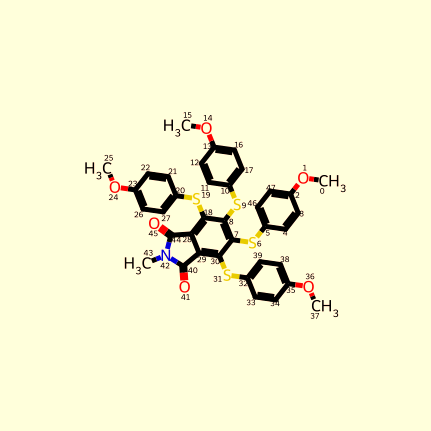 COc1ccc(Sc2c(Sc3ccc(OC)cc3)c(Sc3ccc(OC)cc3)c3c(c2Sc2ccc(OC)cc2)C(=O)N(C)C3=O)cc1